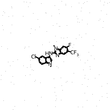 Cn1cc(Nc2nc3cc(C(F)(F)F)c(F)cc3n2C)c2cc(Cl)ccc21